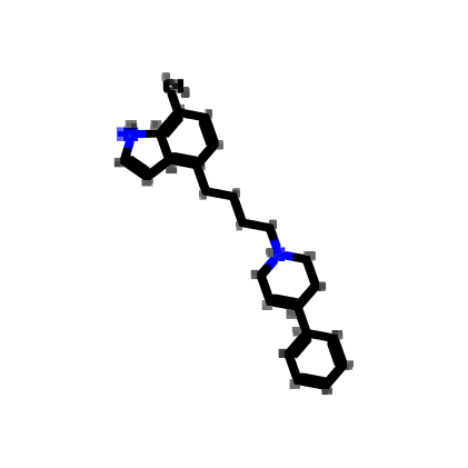 Cc1ccc(CCCCN2CC=C(c3ccccc3)CC2)c2cc[nH]c12